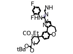 CCOC(=O)C1(c2ccc3c(c2)-c2nn(/C(=N/C=N)Nc4ccc(F)cc4F)cc2CCO3)CCN(C(=O)OC(C)(C)C)CC1